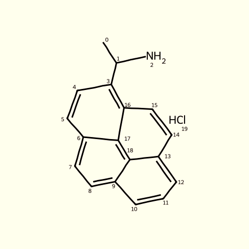 CC(N)c1ccc2ccc3cccc4ccc1c2c34.Cl